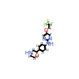 FC(F)(F)COc1cnc(Nc2ccc(C3CNCCO3)cc2)nc1